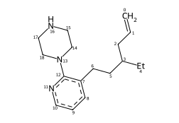 C=CCC(CC)CCc1cccnc1N1CCNCC1